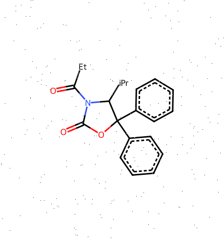 CCC(=O)N1C(=O)OC(c2ccccc2)(c2ccccc2)C1C(C)C